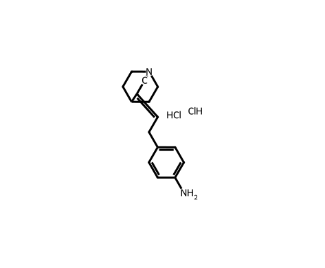 Cl.Cl.Nc1ccc(CC=C2CN3CCC2CC3)cc1